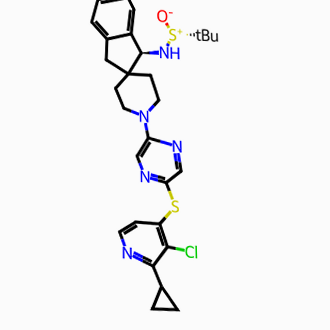 CC(C)(C)[S@@+]([O-])N[C@@H]1c2ccccc2CC12CCN(c1cnc(Sc3ccnc(C4CC4)c3Cl)cn1)CC2